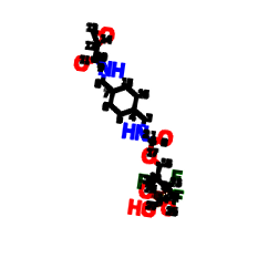 O=C(NCC1CCC(CNC(=O)C2CO2)CC1)OCC(F)C(F)(F)S(=O)(=O)O